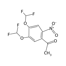 CC(=O)c1cc(OC(F)F)c(OC(F)F)cc1[N+](=O)[O-]